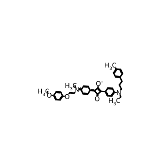 CCN(CCCc1ccc(C)cc1)c1ccc(C2=C([O-])C(=C3C=CC(=[N+](C)CCOc4ccc(OC)cc4)C=C3)C2=O)cc1